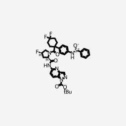 CC(C)(C)OC(=O)n1ncc2nc(NC(=O)[C@H]3C[C@@H](F)CN3C(=O)C3(c4ccc(N[S+]([O-])c5ccccc5)cc4)CCC(F)(F)CC3)ccc21